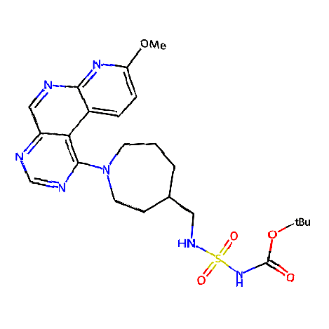 COc1ccc2c(ncc3ncnc(N4CCCC(CNS(=O)(=O)NC(=O)OC(C)(C)C)CC4)c32)n1